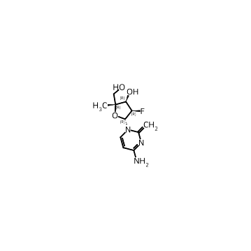 C=C1N=C(N)C=CN1[C@@H]1O[C@](C)(CO)[C@@H](O)[C@H]1F